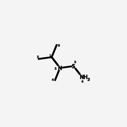 CC(C)N(C)SN